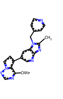 COc1ncnn2ccc(-c3cnc4nc(C)n(Cc5ccncc5)c4c3)c12